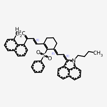 C=C(/C=C/C1=C(S(=O)(=O)c2ccccc2)C(=C/C=c2\c3cccc4cccc(c43)n2CCCC)/CCC1)c1cccc2cccc(C)c12